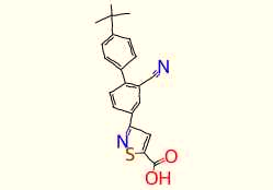 CC(C)(C)c1ccc(-c2ccc(-c3cc(C(=O)O)sn3)cc2C#N)cc1